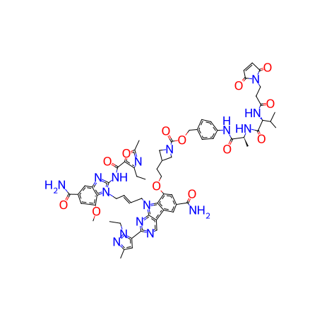 CCc1nc(C)oc1C(=O)Nc1nc2cc(C(N)=O)cc(OC)c2n1C/C=C/Cn1c2nc(-c3cc(C)nn3CC)ncc2c2cc(C(N)=O)cc(OCCC3CN(C(=O)OCc4ccc(NC(=O)[C@H](C)NC(=O)[C@@H](NC(=O)CCN5C(=O)C=CC5=O)C(C)C)cc4)C3)c21